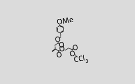 C=C(CC(=O)OCc1ccc(OC)cc1)C(=O)OCCC(=O)OCC(Cl)(Cl)Cl